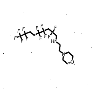 FC(F)(CNCCN1CCOCC1)CC(F)(F)C(F)(F)CCC(F)(F)C(F)(F)F